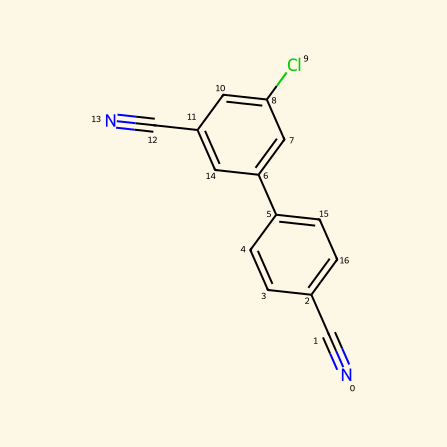 N#Cc1ccc(-c2cc(Cl)cc(C#N)c2)cc1